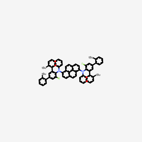 CC(C)(C)c1ccccc1-c1cc(F)c(N(c2ccccc2)c2ccc3ccc4c(N(c5ccccc5)c5c(F)cc(-c6ccccc6C(C)(C)C)cc5-c5ccccc5C(C)(C)C)ccc5ccc2c3c54)c(-c2ccccc2C(C)(C)C)c1